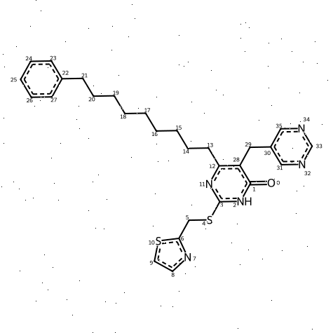 O=c1[nH]c(SCc2nccs2)nc(CCCCCCCCCc2ccccc2)c1Cc1cncnc1